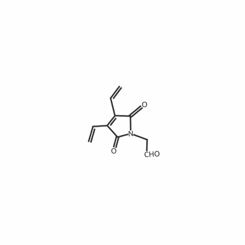 C=CC1=C(C=C)C(=O)N(CC=O)C1=O